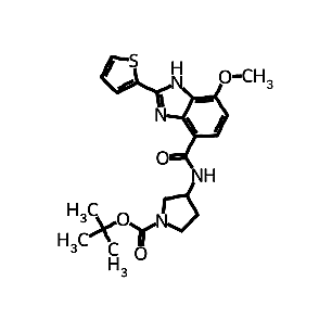 COc1ccc(C(=O)NC2CCN(C(=O)OC(C)(C)C)C2)c2nc(-c3cccs3)[nH]c12